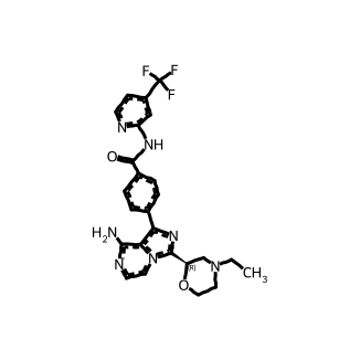 CCN1CCO[C@@H](c2nc(-c3ccc(C(=O)Nc4cc(C(F)(F)F)ccn4)cc3)c3c(N)nccn23)C1